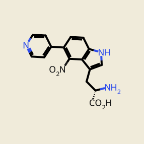 N[C@@H](Cc1c[nH]c2ccc(-c3ccncc3)c([N+](=O)[O-])c12)C(=O)O